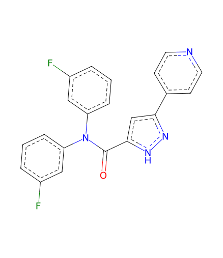 O=C(c1cc(-c2ccncc2)n[nH]1)N(c1cccc(F)c1)c1cccc(F)c1